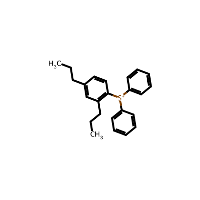 CCCc1ccc([S+](c2ccccc2)c2ccccc2)c(CCC)c1